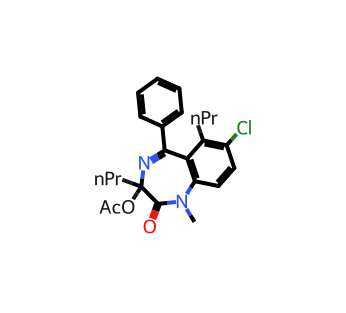 CCCc1c(Cl)ccc2c1C(c1ccccc1)=NC(CCC)(OC(C)=O)C(=O)N2C